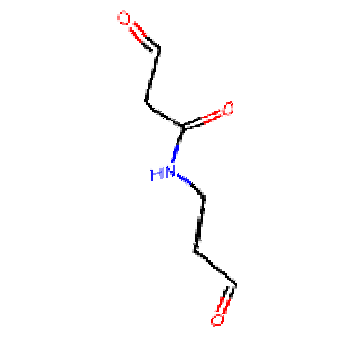 O=CCCNC(=O)CC=O